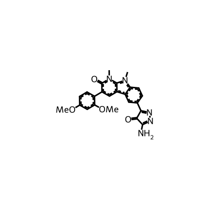 COc1ccc(-c2cc3c4cc(C5=NN=C(N)C5=O)ccc4n(C)c3n(C)c2=O)c(OC)c1